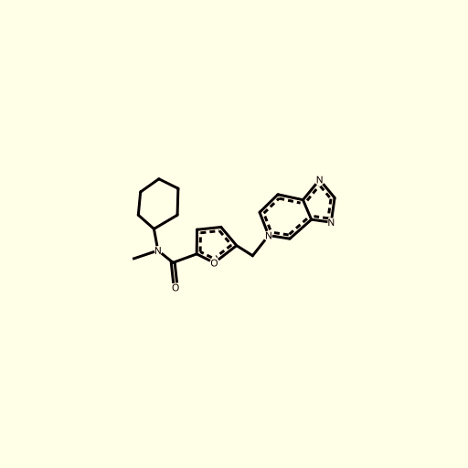 CN(C(=O)c1ccc(Cn2ccc3ncnc-3c2)o1)C1CCCCC1